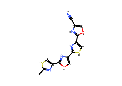 Cc1nc(-c2nc(-c3nc(-c4nc(C#N)co4)cs3)co2)cs1